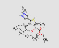 CCOC(=O)C(OC(C)(C)C)c1c(C)sc(-c2cnn(C)c2)c1C1=CCC(C)(C)CC1